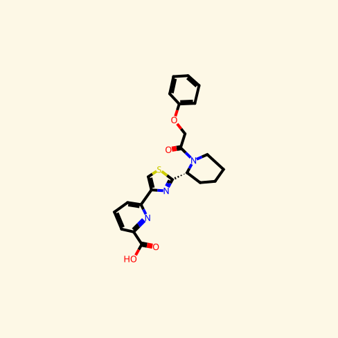 O=C(O)c1cccc(-c2csc([C@H]3CCCCN3C(=O)COc3ccccc3)n2)n1